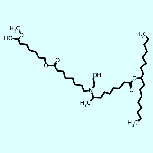 CCCCCCCCC(CCCCCCCC)OC(=O)CCCCCCC(C)N(CCO)CCCCCCCC(=O)OCCCCCCC(O)OC